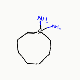 N[Si]1(N)CCCCCCC1